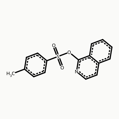 Cc1ccc(S(=O)(=O)Oc2nccc3ccccc23)cc1